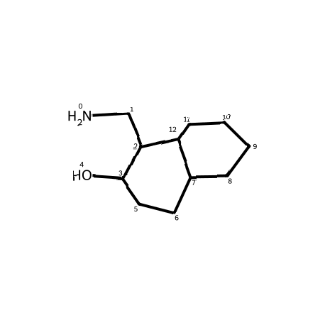 NCC1C(O)CCC2CCCCC21